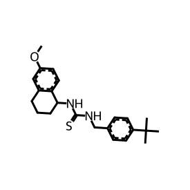 COc1ccc2c(c1)CCCC2NC(=S)NCc1ccc(C(C)(C)C)cc1